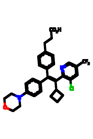 O=C(O)CCc1ccc(/C(=C(\c2ncc(C(F)(F)F)cc2Cl)C2CCC2)c2ccc(N3CCOCC3)cc2)cc1